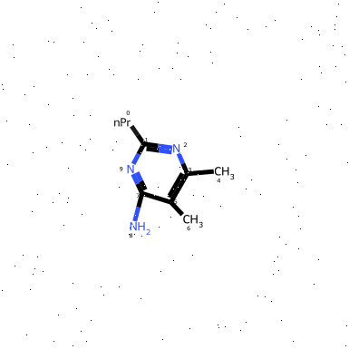 CCCc1nc(C)c(C)c(N)n1